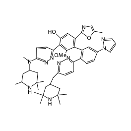 COc1c(-c2ccc(N(C)C3CC(C)NC(C)(C)C3)nn2)c(O)cc(-c2ncc(C)o2)c1-c1cc(-n2cccn2)ccc1-c1ccc(CC2CC(C)(C)NC(C)(C)C2)nn1